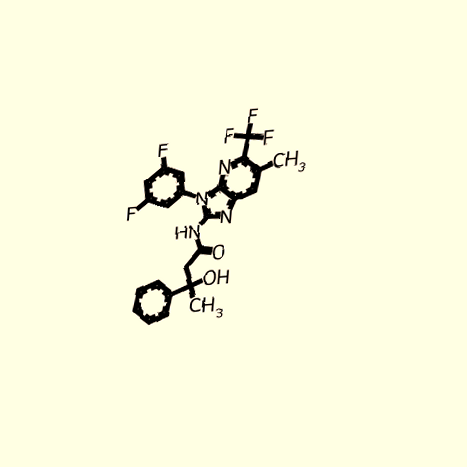 Cc1cc2nc(NC(=O)CC(C)(O)c3ccccc3)n(-c3cc(F)cc(F)c3)c2nc1C(F)(F)F